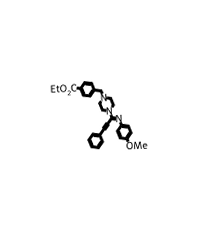 CCOC(=O)c1ccc(CN2CCN(C(C#Cc3ccccc3)=Nc3ccc(OC)cc3)CC2)cc1